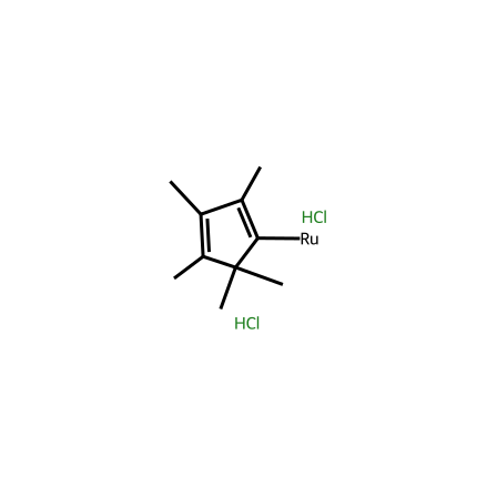 CC1=C(C)C(C)(C)[C]([Ru])=C1C.Cl.Cl